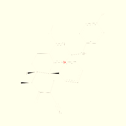 COc1nc(Nc2ccc(Br)cc2)nc2c1CC[C@H]1[C@H](C)C(=O)C(C#N)C[C@@]21c1ccccc1